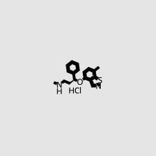 CNCC[C@H](Oc1ccc(C)c2sncc12)c1ccccc1.Cl